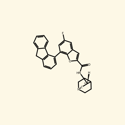 O=C(N[C@H]1CN2CCC1CC2)c1cc2cc(F)cc(-c3cccc4c3-c3ccccc3C4)c2o1